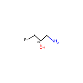 CC[CH][C@@H](O)CN